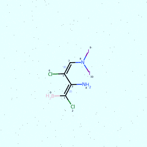 B/C(Cl)=C(N)\C(Cl)=C/N(I)I